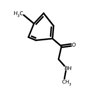 CBCC(=O)c1ccc(C)cc1